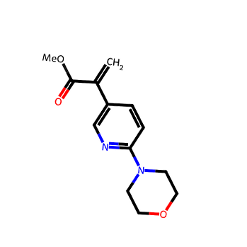 C=C(C(=O)OC)c1ccc(N2CCOCC2)nc1